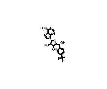 Nc1ncnc2c1ncn2[C@@H]1O[C@H]([C@H](O)c2ccc(C(F)(F)F)cc2)[C@@H](O)[C@H]1O